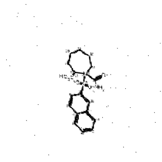 NC(=O)[N+]1(S(=O)(=O)c2ccc3ccccc3c2)CCCCCC1C(=O)O